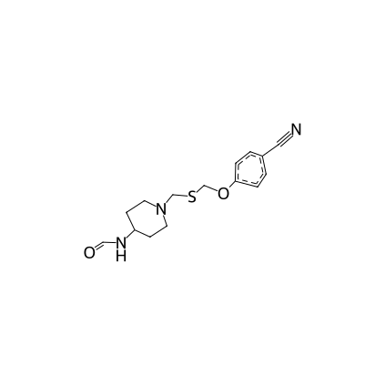 N#Cc1ccc(OCSCN2CCC(NC=O)CC2)cc1